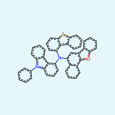 c1ccc(-n2c3ccccc3c3c(N(c4cc5c6ccccc6oc5c5ccccc45)c4cccc5sc6ccccc6c45)cccc32)cc1